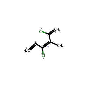 C=C/C(Cl)=C(/C)C(=C)Cl